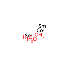 O.O.O.[Co].[Sm].[Sm]